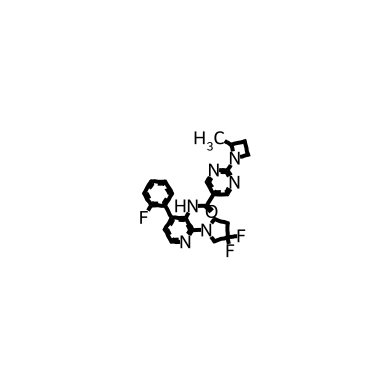 CC1CCN1c1ncc(C(=O)Nc2c(-c3ccccc3F)ccnc2N2CCC(F)(F)C2)cn1